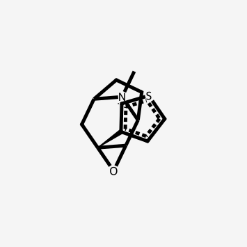 CN1C2CCC1C1O[C@]1(c1[c]scc1)C2